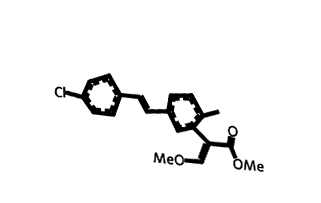 CO/C=C(/C(=O)OC)c1cc(/C=C/c2ccc(Cl)cc2)ccc1C